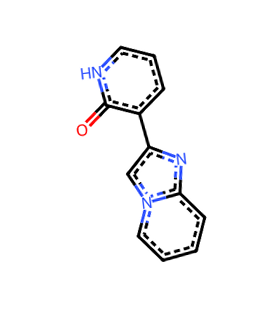 O=c1[nH]cccc1-c1cn2ccccc2n1